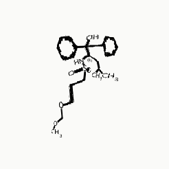 COCOCCCS(=O)(=O)N[C@H](CC(C)C)C(O)(c1ccccc1)c1ccccc1